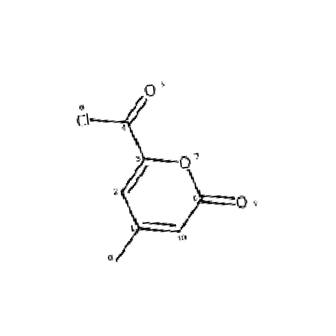 Cc1cc(C(=O)Cl)oc(=O)c1